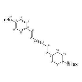 CCCCCCC1CCC(C=CC#CC=Cc2ccc(CCCC)cc2)CC1